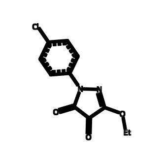 CCOC1=NN(c2ccc(Cl)cc2)C(=O)C1=O